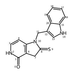 O=c1[nH]ccc2c1CC(=S)N2Cc1c[nH]c2ccccc12